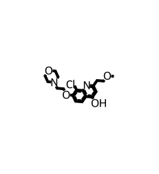 COCCc1cc(O)c2ccc(OCCN3CCOCC3)c(Cl)c2n1